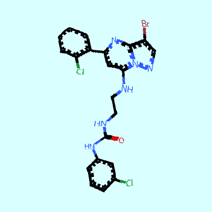 O=C(NCCNc1cc(-c2ccccc2Cl)nc2c(Br)cnn12)Nc1cccc(Cl)c1